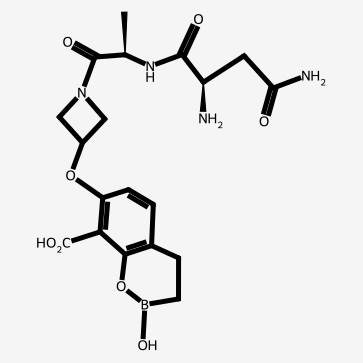 C[C@@H](NC(=O)[C@H](N)CC(N)=O)C(=O)N1CC(Oc2ccc3c(c2C(=O)O)OB(O)CC3)C1